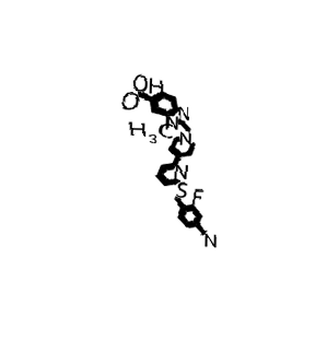 Cn1c(CN2CC=C(c3cccc(SCc4ccc(C#N)cc4F)n3)CC2)nc2ccc(C(=O)O)cc21